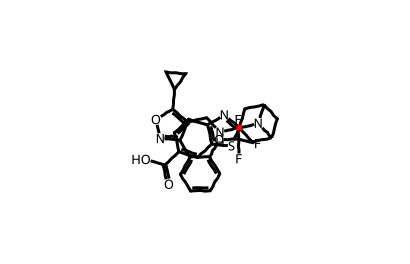 O=C(O)c1ccc2nc(N3C4CC(NCc5c(-c6ccccc6OC(F)(F)F)noc5C5CC5)CC3C4)sc2c1